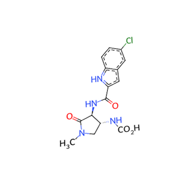 CN1C[C@@H](NC(=O)O)[C@H](NC(=O)c2cc3cc(Cl)ccc3[nH]2)C1=O